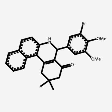 COc1cc(C2Nc3ccc4ccccc4c3C3=C2C(=O)CC(C)(C)C3)cc(Br)c1OC